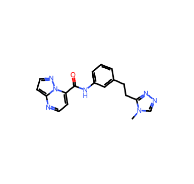 Cn1cnnc1CCc1cccc(NC(=O)c2ccnc3ccnn23)c1